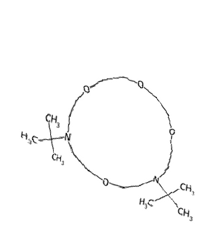 CC(C)(C)N1CCOCCOCCOCCN(C(C)(C)C)CCOCC1